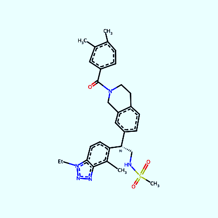 CCn1nnc2c(C)c([C@@H](CNS(C)(=O)=O)c3ccc4c(c3)CN(C(=O)c3ccc(C)c(C)c3)CC4)ccc21